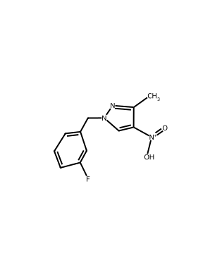 Cc1nn(Cc2cccc(F)c2)cc1[N+](=O)O